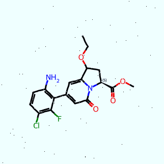 CCOC1C[C@@H](C(=O)OC)n2c1cc(-c1c(N)ccc(Cl)c1F)cc2=O